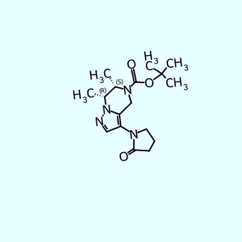 C[C@@H]1[C@H](C)N(C(=O)OC(C)(C)C)Cc2c(N3CCCC3=O)cnn21